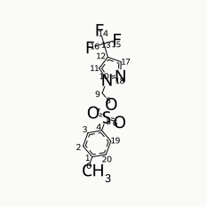 Cc1ccc(S(=O)(=O)OCn2cc(C(F)(F)F)cn2)cc1